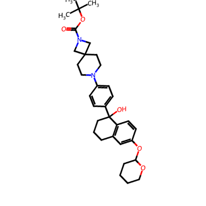 CC(C)(C)OC(=O)N1CC2(CCN(c3ccc(C4(O)CCCc5cc(OC6CCCCO6)ccc54)cc3)CC2)C1